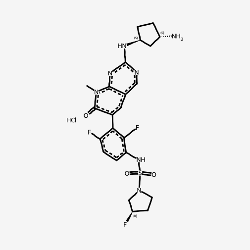 Cl.Cn1c(=O)c(-c2c(F)ccc(NS(=O)(=O)N3CC[C@@H](F)C3)c2F)cc2cnc(N[C@H]3CC[C@H](N)C3)nc21